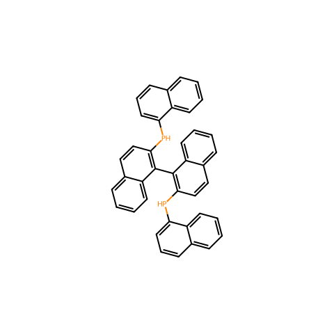 c1ccc2c(Pc3ccc4ccccc4c3-c3c(Pc4cccc5ccccc45)ccc4ccccc34)cccc2c1